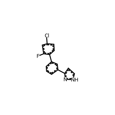 Fc1cc(Cl)ccc1-c1cccc(-c2cc[nH]n2)c1